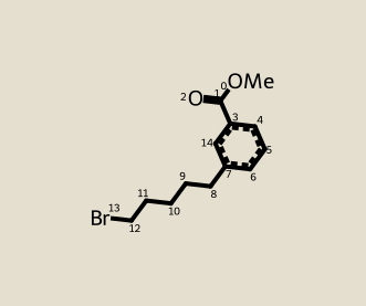 COC(=O)c1cccc(CCCCCBr)c1